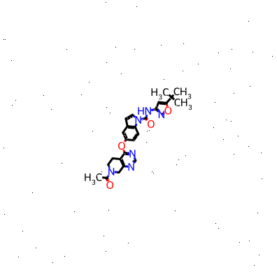 CC(=O)N1CCc2c(ncnc2Oc2ccc3c(ccn3C(=O)Nc3cc(C(C)(C)C)on3)c2)C1